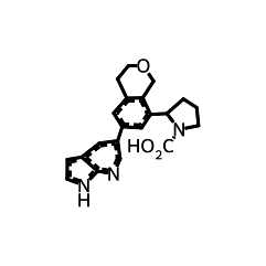 O=C(O)N1CCCC1c1cc(-c2cnc3[nH]ccc3c2)cc2c1COCC2